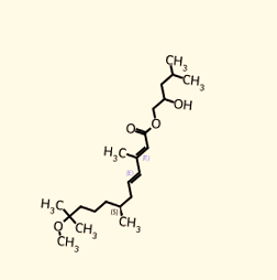 COC(C)(C)CCC[C@H](C)C/C=C/C(C)=C/C(=O)OCC(O)CC(C)C